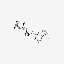 C[C@H]1C[C@@H](N(C)Cc2cccc(C(F)(F)F)c2)CCN1C(=O)Cl